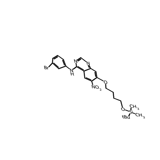 CC(C)(C)[Si](C)(C)OCCCCOc1cc2ncnc(Nc3cccc(Br)c3)c2cc1[N+](=O)[O-]